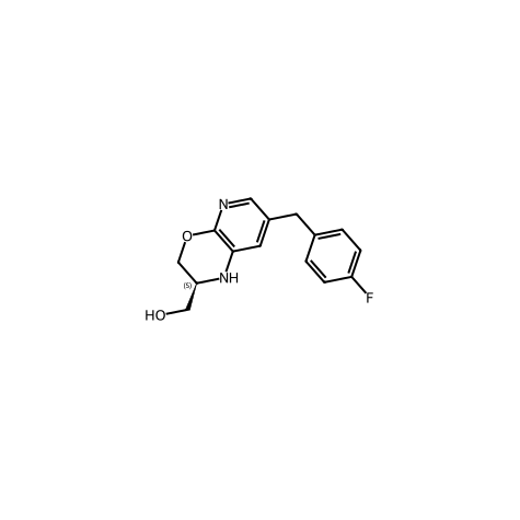 OC[C@H]1COc2ncc(Cc3ccc(F)cc3)cc2N1